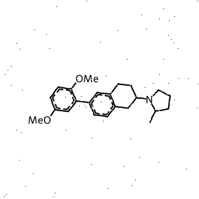 COc1ccc(OC)c(-c2ccc3c(c2)CCC(N2CCCC2C)C3)c1